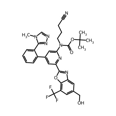 Cn1cnnc1-c1ccccc1-c1cc(-c2nc3cc(CO)cc(C(F)(F)F)c3o2)nc(N(CCCC#N)C(=O)OC(C)(C)C)c1